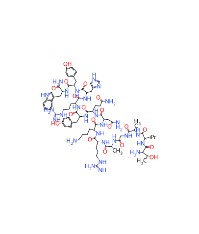 CC(NC(=O)CNC(=O)C(C)NC(=O)C(NC(=O)C(N)C(C)O)C(C)C)C(=O)NC(CCCNC(=N)N)C(=O)NC(CCCCN)C(=O)NC(CC(N)=O)C(=O)NC(CCC(N)=O)C(=O)NC(Cc1ccc(O)cc1)C(=O)NC(CCCNC(=N)N)C(=O)NC(Cc1c[nH]cn1)C(=O)NC(Cc1ccc(O)cc1)C(=O)NC(Cc1c[nH]c2ccccc12)C(N)=O